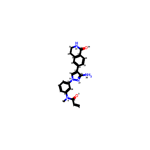 C=CC(=O)N(C)c1cccc(-n2cc(-c3ccc4c(c3)CCNC4=O)c(N)n2)c1